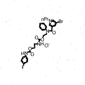 CCC[n+]1cc(Br)cc(C(=O)N(CCOC(=O)NCCOC(=O)Nc2ccc(F)cc2)c2ccccc2)c1.[Cl-]